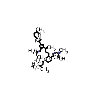 C=C(CCC1CN(C(=C)CC(C)(C)C)CCN1C(=C)/C=C\C(=C/C)CC)C1=C(/C=C(\C)CC)CC(c2cn3nc(C)ccc3n2)=C1